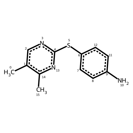 Cc1cnc(Sc2ccc(N)cc2)nc1C